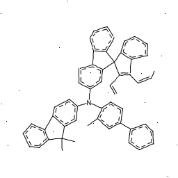 C=CC1=C(/C=C\C)c2ccccc2C12c1ccccc1-c1ccc(N(c3ccc4c(c3)C(C)(C)c3ccccc3-4)c3ccc(-c4ccccc4)cc3C)cc12